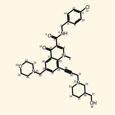 Cn1cc(C(=O)NCc2ccc(Cl)cc2)c(=O)c2cc(CN3CCOCC3)cc(C#CCN3CCCC(CO)C3)c21